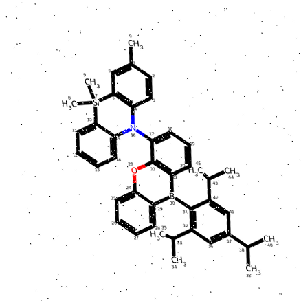 Cc1ccc2c(c1)[Si](C)(C)c1ccccc1N2c1cccc2c1Oc1ccccc1B2c1c(C(C)C)cc(C(C)C)cc1C(C)C